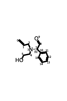 C=CCN(CCO)[C@H](C=O)c1ccccc1